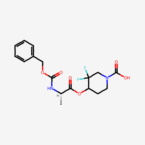 C[C@H](NC(=O)OCc1ccccc1)C(=O)OC1CCN(C(=O)O)CC1(F)F